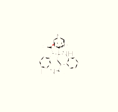 COC(=O)C(c1ccccc1)C1(c2ccncc2)C=C(C(N)=O)c2ccccc2N1